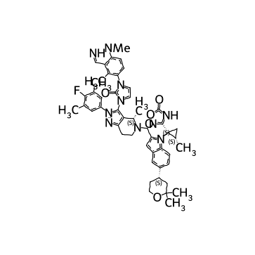 CNc1ccc(-n2ccn(-c3c4c(nn3-c3cc(C)c(F)c(C)c3)CCN(C(=O)c3cc5cc([C@H]6CCOC(C)(C)C6)ccc5n3[C@@]3(c5noc(=O)[nH]5)C[C@@H]3C)[C@H]4C)c2=O)c(C)c1C=N